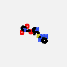 Cc1c(OCCN2C(=O)CCC2=O)ccnc1CSc1nc2ccccc2[nH]1